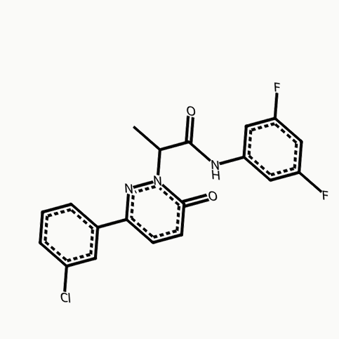 CC(C(=O)Nc1cc(F)cc(F)c1)n1nc(-c2cccc(Cl)c2)ccc1=O